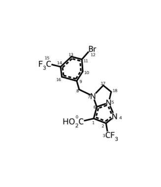 O=C(O)c1c(C(F)(F)F)nn2c1N(Cc1cc(Br)cc(C(F)(F)F)c1)CC2